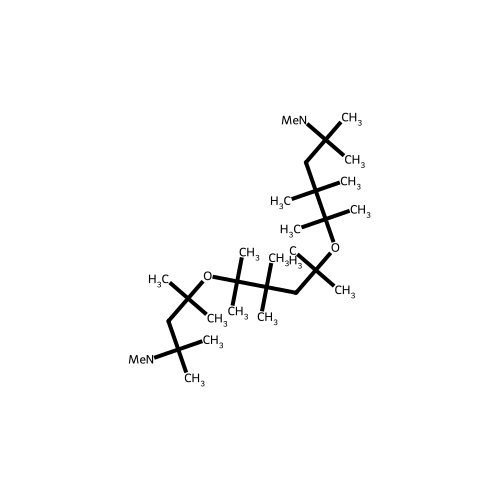 CNC(C)(C)CC(C)(C)OC(C)(C)C(C)(C)CC(C)(C)OC(C)(C)C(C)(C)CC(C)(C)NC